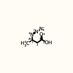 C[C@H](CC(=O)O)N=[N+]=[N-]